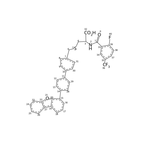 O=C(NC(CSCc1ccc(-c2ccc(-c3cccc4c3oc3ccccc34)cc2)cc1)C(=O)O)c1cc(C(F)(F)F)ccc1F